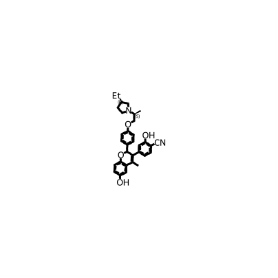 CC[C@@H]1CCN([C@@H](C)COc2ccc(C3Oc4ccc(O)cc4C(C)=C3c3ccc(C#N)c(O)c3)cc2)C1